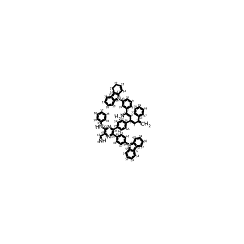 C=C(/C=C(\C=C(/N)c1cccc(-n2c3c(c4ccccc42)CCC=C3)c1)c1ccc(-c2nc(Nc3ccccc3)c(C=N)nc2-c2ccc(-n3c4ccccc4c4ccccc43)cc2)cc1)c1ccccc1